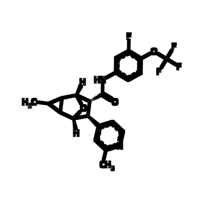 Cc1cc([C@@H]2[C@@H](C(=O)Nc3ccc(OC(F)(F)F)c(F)c3)[C@@H]3O[C@H]2C2C(C)C23)ccn1